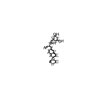 N#C/C(=C\c1ccc2cc(N3CCCCC3)ccc2c1)SNCC1CC(O)CC(O)O1